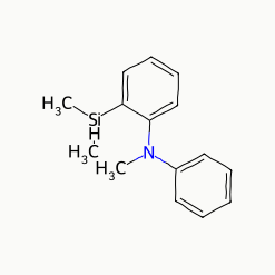 CN(c1ccccc1)c1ccccc1[SiH](C)C